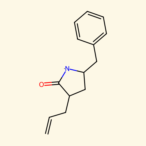 C=CCC1CC(Cc2ccccc2)[N]C1=O